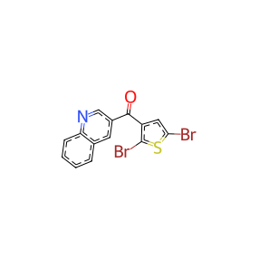 O=C(c1cnc2ccccc2c1)c1cc(Br)sc1Br